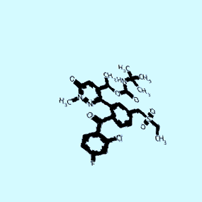 CCS(=O)(=O)Cc1ccc(C(=O)c2ccc(F)cc2Cl)c(-c2nn(C)c(=O)cc2C(C)OC(=O)NC(C)(C)C)c1